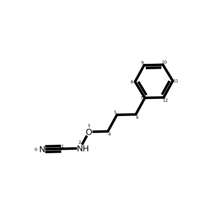 N#CNOCCCc1ccccc1